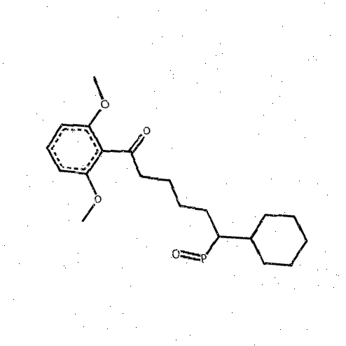 COc1cccc(OC)c1C(=O)CCCCC(P=O)C1CCCCC1